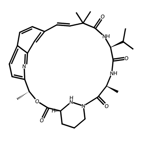 CC(C)[C@@H]1NC(=O)C(C)(C)/C=C/c2ccc3ccc(nc3c2)[C@@H](C)OC(=O)[C@@H]2CCCN(N2)C(=O)[C@H](C)NC1=O